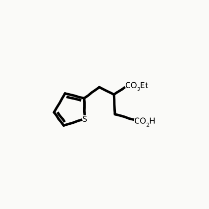 CCOC(=O)C(CC(=O)O)Cc1cccs1